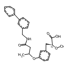 CO[C@@H](Cc1cccc(OC(C)CC(=O)NCc2cccc(-c3ccccc3)c2)c1)C(=O)O